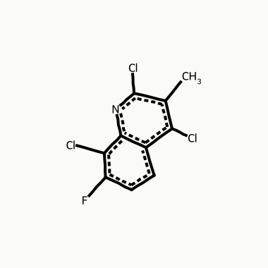 Cc1c(Cl)nc2c(Cl)c(F)ccc2c1Cl